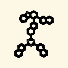 C1=CC(c2nc(-c3ccc4ccccc4c3)nc(-c3ccc4ccccc4c3)n2)Cc2ccc(C3=C(c4ccc5ccccc5c4)CCc4oc5ccccc5c43)cc21